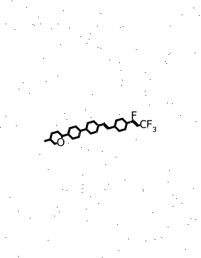 CC1CCC(C2CCC(C3CCC(/C=C/C4CCC(/C(F)=C/C(F)(F)F)CC4)CC3)CC2)OC1